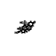 C#C[C@]1(O)CC[C@H]2[C@@H]3CCC4=CC(=O)CC[C@@H]4[C@H]3C(=C)C[C@@]21CC.Cl